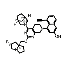 C#Cc1cccc2cc(O)cc(N3CCc4c(nc(OC[C@@]56CCCN5C[C@H](F)C6)nc4N4C[C@H]5CC[C@@H](C4)N5)C3)c12